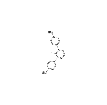 CC(C)(C)c1ccc(-c2cccc(-c3ccc(C(C)(C)C)cc3)c2I)cc1